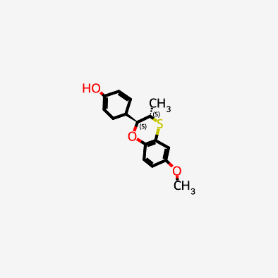 COc1ccc2c(c1)S[C@@H](C)[C@H](C1C=CC(O)=CC1)O2